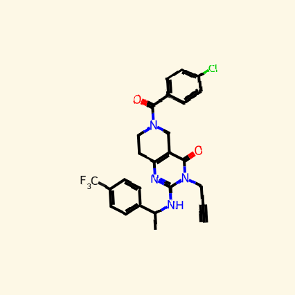 C#CCn1c(NC(C)c2ccc(C(F)(F)F)cc2)nc2c(c1=O)CN(C(=O)c1ccc(Cl)cc1)CC2